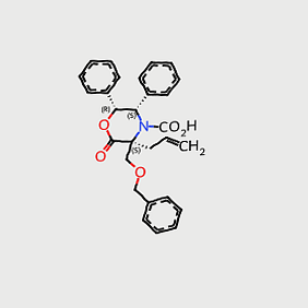 C=CC[C@]1(COCc2ccccc2)C(=O)O[C@H](c2ccccc2)[C@H](c2ccccc2)N1C(=O)O